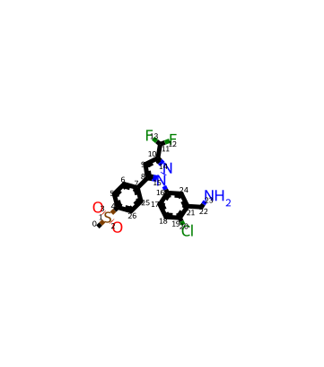 CS(=O)(=O)c1ccc(-c2cc(C(F)F)nn2-c2ccc(Cl)c(CN)c2)cc1